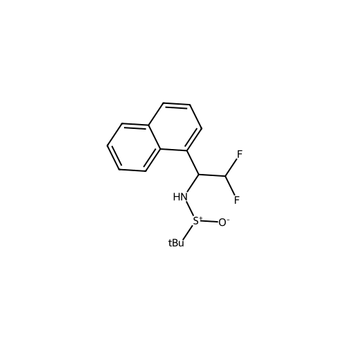 CC(C)(C)[S+]([O-])NC(c1cccc2ccccc12)C(F)F